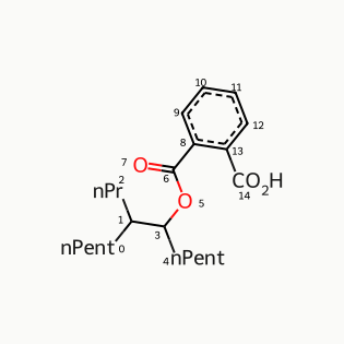 CCCCCC(CCC)C(CCCCC)OC(=O)c1ccccc1C(=O)O